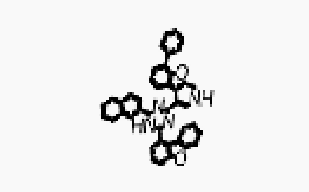 C1=C(C2=NC(c3ccc4ccccc4c3)NC(c3cccc4oc5ccccc5c34)=N2)c2c(oc3c(-c4ccccc4)cccc23)CN1